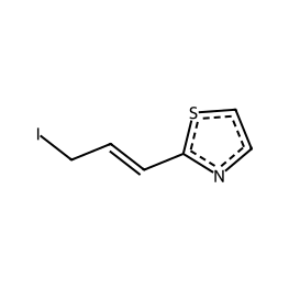 IC/C=C/c1nccs1